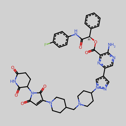 Nc1ncc(-c2cnn(C3CCN(CC4CCN(C5=CC(=O)N(C6CCC(=O)NC6=O)C5=O)CC4)CC3)c2)nc1C(=O)O[C@@H](C(=O)Nc1ccc(F)cc1)c1ccccc1